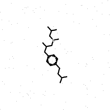 CC(C)CCc1ccc(CC(C)CN(C)CC(C)C)cc1